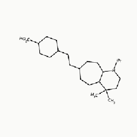 CC(C)N1CCC(C)(C)C2CCC(CCC3CCC(C(=O)O)CC3)CCC21